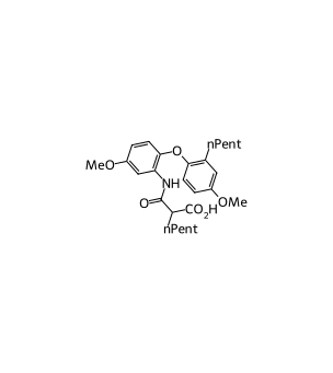 CCCCCc1cc(OC)ccc1Oc1ccc(OC)cc1NC(=O)C(CCCCC)C(=O)O